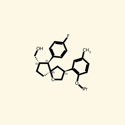 Cc1ccc(OC(C)C)c([C@H]2CO[C@]3(CC[C@H](CO)[C@H]3c3ccc(F)cc3)C2)c1